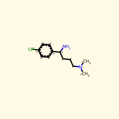 CN(C)CCCC(N)c1ccc(Cl)cc1